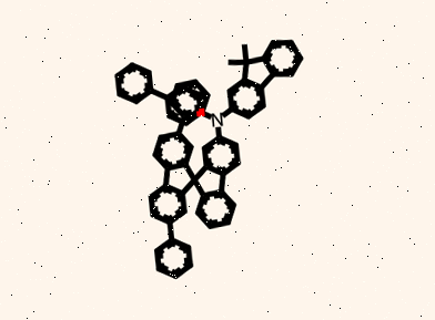 CC1(C)c2ccccc2-c2ccc(N(c3ccc(-c4ccccc4)cc3)c3ccc4c(c3)C3(c5ccccc5-4)c4cc(-c5ccccc5)ccc4-c4ccc(-c5ccccc5)cc43)cc21